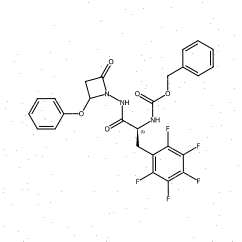 O=C(N[C@@H](Cc1c(F)c(F)c(F)c(F)c1F)C(=O)NN1C(=O)CC1Oc1ccccc1)OCc1ccccc1